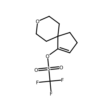 O=S(=O)(OC1=CCCC12CCOCC2)C(F)(F)F